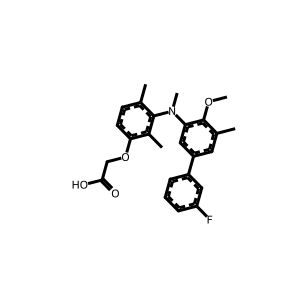 COc1c(C)cc(-c2cccc(F)c2)cc1N(C)c1c(C)ccc(OCC(=O)O)c1C